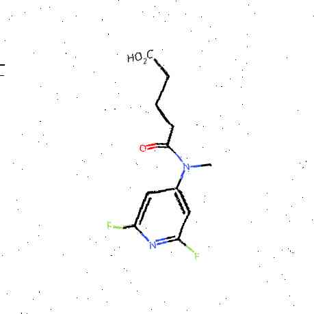 CN(C(=O)CCCC(=O)O)c1cc(F)nc(F)c1